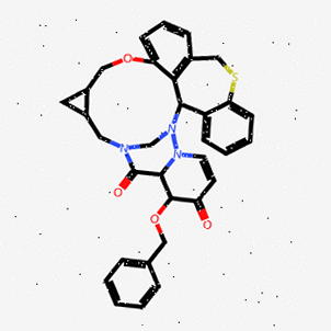 O=C1C=CN2C(C(=O)N3CC4CC4COc4cccc5c4C(c4ccccc4SC5)N2C3)C1OCc1ccccc1